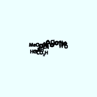 COc1cc(Cn2ncc3c(-c4cccc(-c5ccc(CNC[C@@H]6CCC(=O)N6)cc5)c4Cl)cccc32)c(C#N)cc1CN[C@@H](CO)C(=O)O